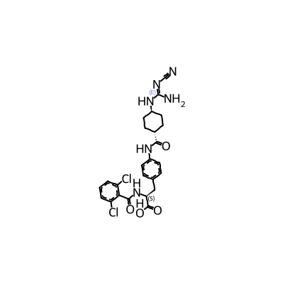 N#C/N=C(\N)N[C@H]1CC[C@H](C(=O)Nc2ccc(C[C@H](NC(=O)c3c(Cl)cccc3Cl)C(=O)O)cc2)CC1